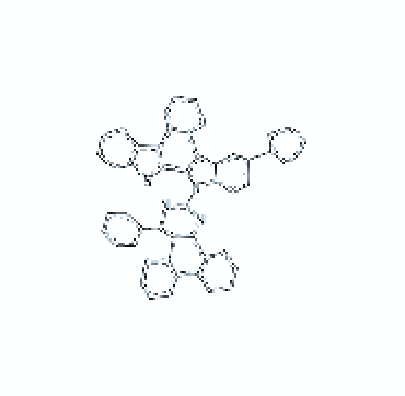 c1ccc(-c2ccc3c(c2)c2c4ccccc4c4c5ccccc5sc4c2n3-c2nc(-c3ccccc3)c3c4ccccc4c4ccccc4c3n2)cc1